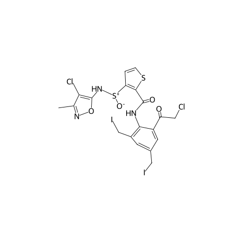 Cc1noc(N[S+]([O-])c2ccsc2C(=O)Nc2c(CI)cc(CI)cc2C(=O)CCl)c1Cl